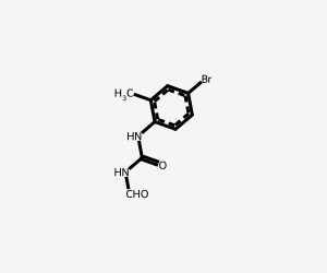 Cc1cc(Br)ccc1NC(=O)NC=O